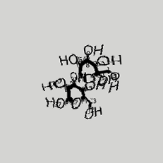 OC[C@@]1(O)OC[C@@H](O)[C@@H](O)[C@@H]1O.OC[C@H]1O[C@@H](O)[C@H](O)[C@@H](O)[C@H]1O